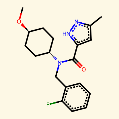 CO[C@H]1CC[C@H](N(Cc2ccccc2F)C(=O)c2cc(C)n[nH]2)CC1